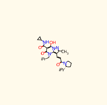 Cc1nn2c(O)c(C(=O)NC3CC3)c(=O)n(CC(C)C)c2c1/C=C/C(=O)N1CCC[C@@H]1C(C)C